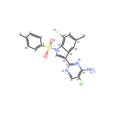 Cc1ccc(S(=O)(=O)n2cc(-c3ncc(F)c(N)n3)c3cc(C)cc(F)c32)cc1